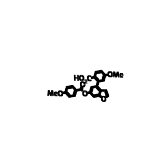 COc1ccc(C(=O)Oc2cc(-c3cc(OC)ccc3C(=O)O)c3ccoc3c2)cc1